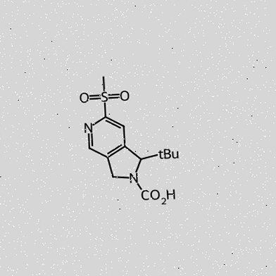 CC(C)(C)C1c2cc(S(C)(=O)=O)ncc2CN1C(=O)O